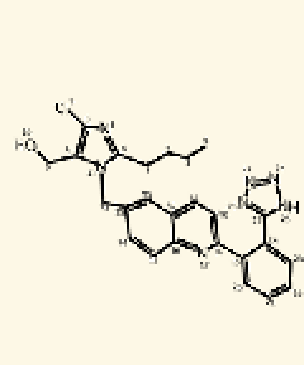 CCCCc1nc(Cl)c(CO)n1Cc1ccc2nc(-c3ccccc3-c3nnn[nH]3)ccc2c1